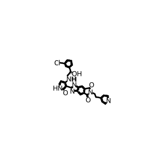 O=C1c2cc3nc(-c4c(NC[C@@H](O)c5cccc(Cl)c5)cc[nH]c4=O)[nH]c3cc2C(=O)N1CCc1ccncc1